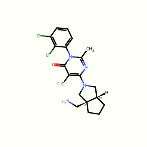 Cc1nc(N2C[C@@H]3CCC[C@]3(CN)C2)c(C(F)(F)F)c(=O)n1-c1cccc(Cl)c1Cl